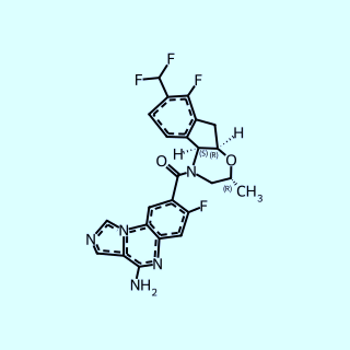 C[C@@H]1CN(C(=O)c2cc3c(cc2F)nc(N)c2cncn23)[C@H]2c3ccc(C(F)F)c(F)c3C[C@H]2O1